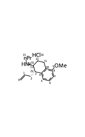 C=CC[C@H]1c2cccc(OC)c2CC[C@@H]1NCCC.Cl